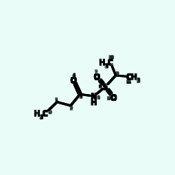 CCCC(=O)NS(=O)(=O)C(C)C